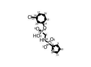 O=P(O)(CNS(=O)(=O)c1cccs1)Oc1cccc(Cl)c1